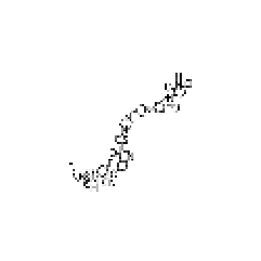 N#Cc1c(NS(=O)(=O)N2CC[C@@H](F)C2)ccc(F)c1Oc1ccc2ncn(-c3ccc(N4CCN(CC5CCN(c6ccc7c(c6)CN(C6CCC(=O)NC6=O)C7=O)CC5)CC4)s3)c(=O)c2c1